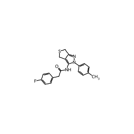 Cc1ccc(-n2nc3c(c2NC(=O)Cc2ccc(F)cc2)CSC3)cc1